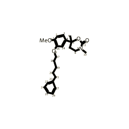 COc1ccc(C2(C)CCN(C)C(=O)O2)cc1OCCCCCc1ccccc1